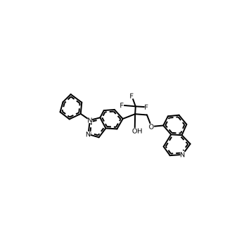 OC(COc1cccc2cnccc12)(c1ccc2c(cnn2-c2ccccc2)c1)C(F)(F)F